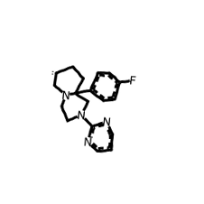 Fc1ccc(C23CC[C]CN2CCN(c2ncccn2)C3)cc1